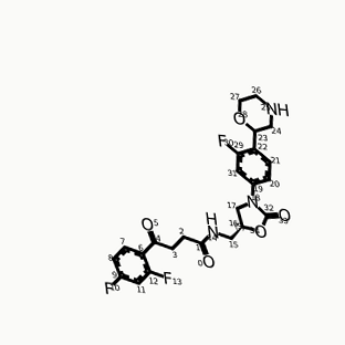 O=C(CCC(=O)c1ccc(F)cc1F)NC[C@H]1CN(c2ccc(C3CNCCO3)c(F)c2)C(=O)O1